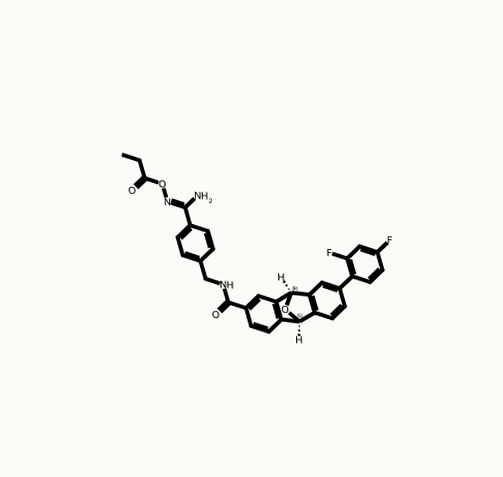 CCC(=O)ON=C(N)c1ccc(CNC(=O)c2ccc3c(c2)[C@@H]2O[C@H]3c3ccc(-c4ccc(F)cc4F)cc32)cc1